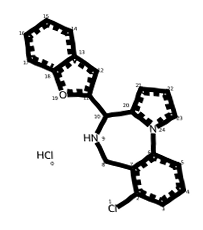 Cl.Clc1cccc2c1CNC(c1cc3ccccc3o1)c1cccn1-2